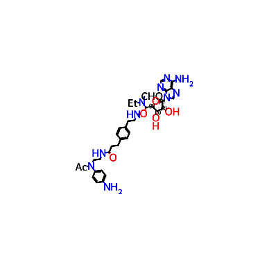 CCN(C=O)C(ONCCc1ccc(CCC(=O)NCCN(C(C)=O)c2ccc(N)cc2)cc1)[C@H]1O[C@@H](n2cnc3c(N)ncnc32)[C@H](O)[C@@H]1O